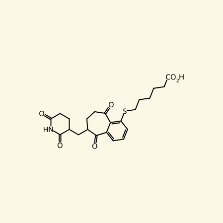 O=C(O)CCCCCSc1cccc2c1C(=O)CCC(CC1CCC(=O)NC1=O)C2=O